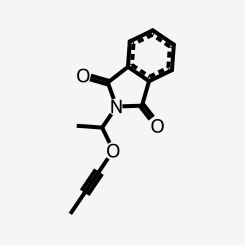 CC#COC(C)N1C(=O)c2ccccc2C1=O